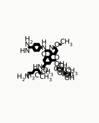 CCOc1ccc(-c2ccc(C(=O)NC(CCCN)C(C)(C)C)cc2C(=O)O)c(C(=O)Nc2ccc(C(=N)N)cc2)n1.CS(=O)(=O)O.CS(=O)(=O)O